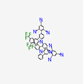 N#Cc1cc(C#N)c(-c2ccc3c(c2)c2ccccc2n3-c2ccc(C#N)cc2-c2cc(-c3ccc(C(F)(F)F)cc3C(F)(F)F)ccc2-n2c3ccccc3c3cc(-c4c(C#N)cc(C#N)cc4C#N)ccc32)c(C#N)c1